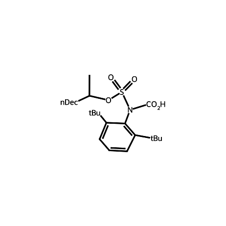 CCCCCCCCCCC(C)OS(=O)(=O)N(C(=O)O)c1c(C(C)(C)C)cccc1C(C)(C)C